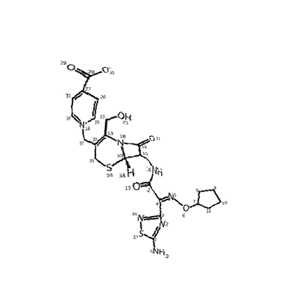 Nc1nc(C(=NOC2CCCC2)C(=O)NC2C(=O)N3C(CO)=C(C[n+]4ccc(C(=O)[O-])cc4)CS[C@@H]23)ns1